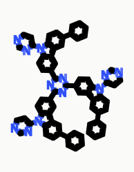 c1ccc(-c2ccc3c(c2)c2cc(-c4nc(-c5ccc6c(c5)c5cc(-c7ccccc7)ccc5n6-c5ccncn5)nc(-c5ccc6c(c5)c5cc(-c7ccccc7)ccc5n6-c5ccncn5)n4)ccc2n3-c2ccncn2)cc1